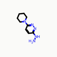 NNc1ccc(N2CCCCC2)nn1